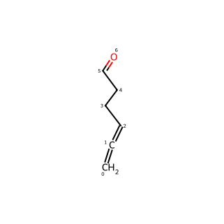 C=C=CCCC=O